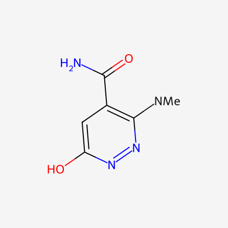 CNc1nnc(O)cc1C(N)=O